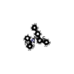 NC1=CCCC=C1C(/N=C/n1c2c(c3c1CCc1c-3sc3c1C=CCC3)CCC(c1ccccc1)=C2)c1ccccc1